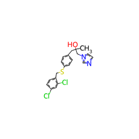 CC(O)(Cc1ccc(SCc2ccc(Cl)cc2Cl)cc1)Cn1ccnc1